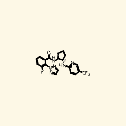 O=C(NC1CCC[C@@H]1Nc1ccc(C(F)(F)F)cn1)c1cccc(F)c1-n1nccn1